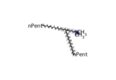 CCCCCC=CCC=CCCCCCCCCC(=CCCCCN(C)C)CCCCCCCCC=CCC=CCCCCC